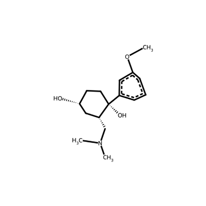 COc1cccc([C@]2(O)CC[C@@H](O)C[C@H]2CN(C)C)c1